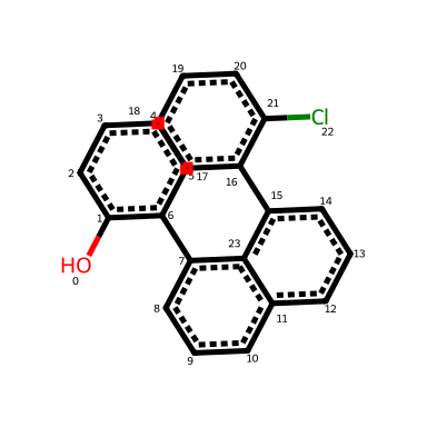 Oc1ccccc1-c1cccc2cccc(-c3ccccc3Cl)c12